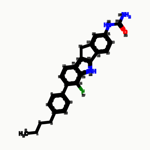 CCCCc1ccc(-c2ccc3c4c([nH]c3c2F)-c2ccc(NC(N)=O)cc2C4)cc1